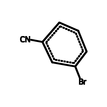 [C-]#[N+]c1cccc(Br)c1